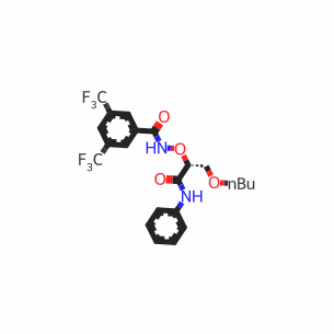 CCCCOC[C@@H](ONC(=O)c1cc(C(F)(F)F)cc(C(F)(F)F)c1)C(=O)Nc1ccccc1